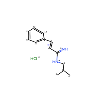 CC(C)CNC(=N)/C=C/c1ccccc1.Cl